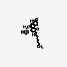 CCCCCCNCC1CCc2c(C)cc3c(c2C1=O)CCC(=O)N3.Cl.O